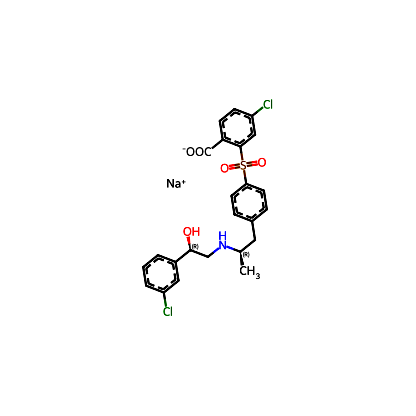 C[C@H](Cc1ccc(S(=O)(=O)c2cc(Cl)ccc2C(=O)[O-])cc1)NC[C@H](O)c1cccc(Cl)c1.[Na+]